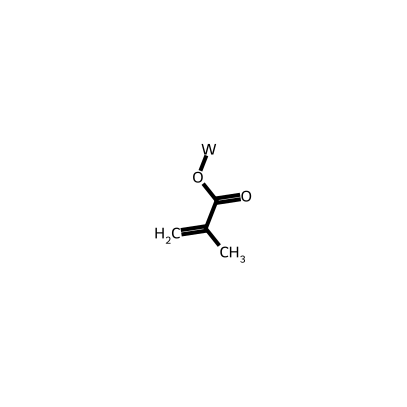 C=C(C)C(=O)[O][W]